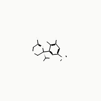 NC1=N[C@@](c2cc([N+](=O)[O-])cc(F)c2F)(C(F)F)COC1